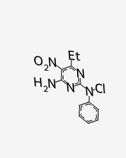 CCc1nc(N(Cl)c2ccccc2)nc(N)c1[N+](=O)[O-]